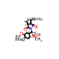 CCOc1cc([C@@H](CS(C)(=O)=O)N2C(=O)c3csc(NC(C)=O)c3C2=O)ccc1OC